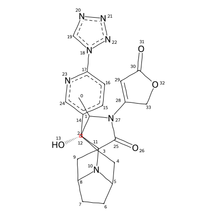 CC1CC2(CC3CCC(C2)N3C[C@H](O)c2ccc(-n3cnnn3)nc2)C(=O)N1C1=CC(=O)OC1